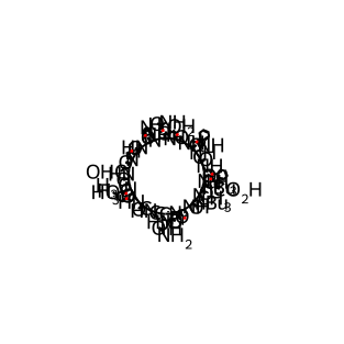 CCCC[C@H]1C(=O)N(C)[C@@H](CCCC)C(=O)N[C@@H](CC(C)C)C(=O)N[C@H](C(=O)NCC(N)=O)CCCNCC(=O)N[C@@H](Cc2ccc(O)cc2)C(=O)N(C)[C@@H](C)C(=O)NC(CC=O)C(=O)N2CCC[C@H]2C(=O)N[C@@H](Cc2cnc[nH]2)C(=O)N[C@@H](CCC(N)=O)C(=O)N2C[C@H](O)C[C@H]2C(=O)N[C@@H](Cc2c[nH]c3ccccc23)C(=O)NCC(=O)N[C@@H](Cc2cn(CC(=O)O)c3ccccc23)C(=O)N1C